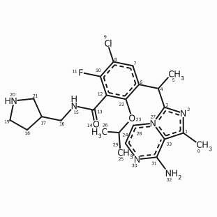 Cc1nc(C(C)c2cc(Cl)c(F)c(C(=O)NCC3CCNC3)c2OC(C)C)n2ccnc(N)c12